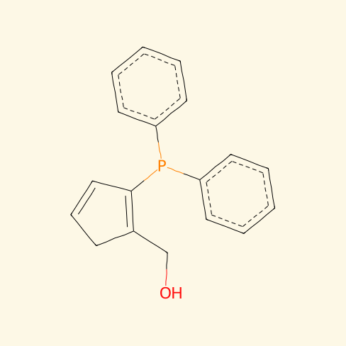 OCC1=C(P(c2ccccc2)c2ccccc2)C=CC1